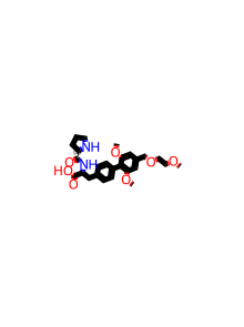 COCCOCc1cc(OC)c(-c2ccc(CC(NC(=O)[C@@H]3CCCN3)C(=O)O)cc2)c(OC)c1